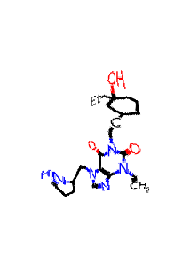 C=Cn1c(=O)n(CCC2CCCC(O)(CC)C2)c(=O)c2c1ncn2CC1CCCN1